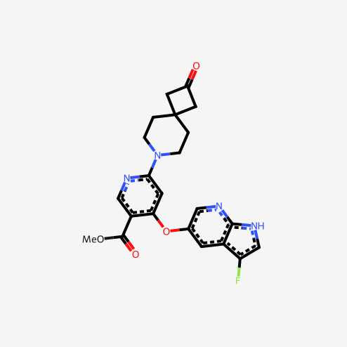 COC(=O)c1cnc(N2CCC3(CC2)CC(=O)C3)cc1Oc1cnc2[nH]cc(F)c2c1